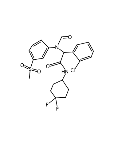 CS(=O)(=O)c1cccc(N(C=O)C(C(=O)NC2CCC(F)(F)CC2)c2ccccc2Cl)c1